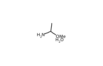 COC(C)N.O